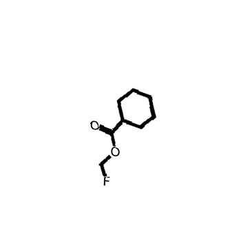 O=C(OCF)C1CCCCC1